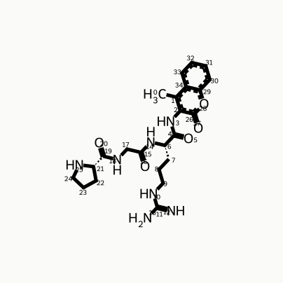 Cc1c(NC(=O)[C@H](CCCNC(=N)N)NC(=O)CNC(=O)[C@@H]2CCCN2)c(=O)oc2ccccc12